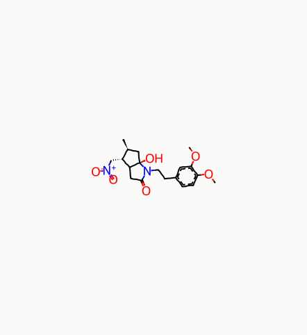 COc1ccc(CCN2C(=O)CC3[C@H](C[N+](=O)[O-])[C@@H](C)C[C@@]32O)cc1OC